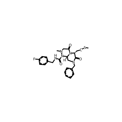 CSCC[C@H]1C(=O)N(Cc2ccccc2)C[C@H]2N1C(=O)CN(C)N2C(=O)NCc1ccc(F)cc1